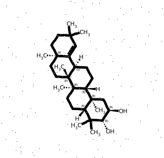 CC1(C)C=C2[C@H]3CC[C@@H]4[C@@]5(C)C[C@@H](O)[C@H](O)C(C)(C)[C@@H]5CC[C@@]4(C)[C@]3(C)CC[C@@]2(C)CC1